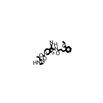 CCOc1ccccc1CCC(=O)Nc1sc2c(c1C#N)CCN(C(=O)OC(C)c1ncc[nH]1)C2